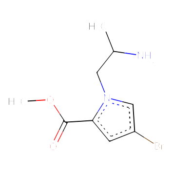 COC(=O)c1cc(Br)cn1CC(C)N